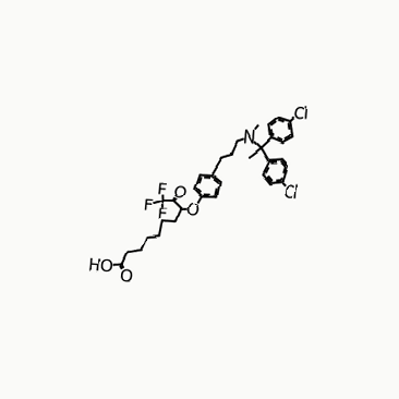 CN(CCCc1ccc(OC(CCCCCCC(=O)O)C(=O)C(F)(F)F)cc1)C(C)(c1ccc(Cl)cc1)c1ccc(Cl)cc1